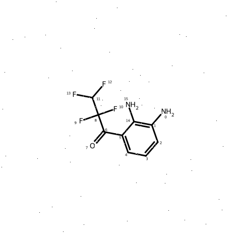 Nc1cccc(C(=O)C(F)(F)C(F)F)c1N